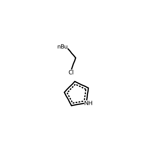 CCCCCCl.c1cc[nH]c1